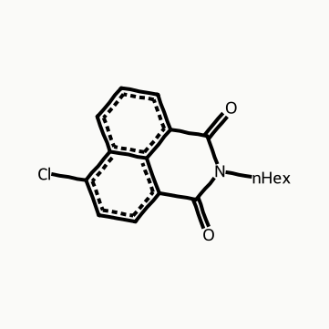 CCCCCCN1C(=O)c2cccc3c(Cl)ccc(c23)C1=O